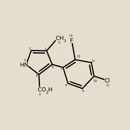 Cc1c[nH]c(C(=O)O)c1-c1ccc(Cl)cc1F